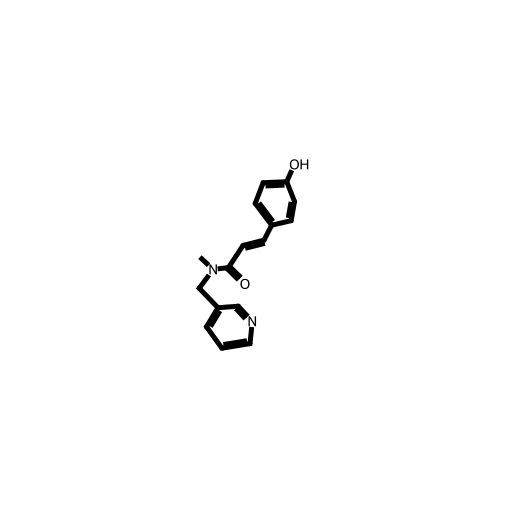 CN(Cc1cccnc1)C(=O)/C=C/c1ccc(O)cc1